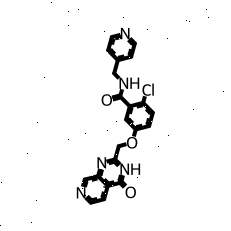 O=C(NCc1ccncc1)c1cc(OCc2nc3cnccc3c(=O)[nH]2)ccc1Cl